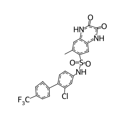 Cc1cc2[nH]c(=O)c(=O)[nH]c2cc1S(=O)(=O)Nc1ccc(-c2ccc(C(F)(F)F)cc2)c(Cl)c1